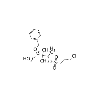 CC(OS(=O)(=O)CCCCl)C(C)(C)[C@@H](OCc1ccccc1)C(=O)O